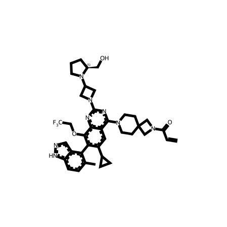 C=CC(=O)N1CC2(CCN(c3nc(N4CC(N5CCC[C@H]5CO)C4)nc4c(OCC(F)(F)F)c(-c5c(C)ccc6[nH]ncc56)c(C5CC5)cc34)CC2)C1